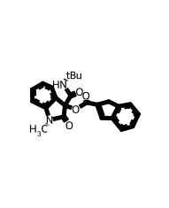 CN1C(=O)C(OC(=O)C2=Cc3ccccc3C2)(C(=O)NC(C)(C)C)c2ccccc21